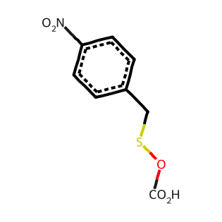 O=C(O)OSCc1ccc([N+](=O)[O-])cc1